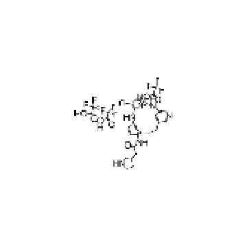 O=C(CC1CCNC1)Nc1ccc2cc1CCc1cncc(c1)Nc1ncc(Cl)c(n1)N2.O=C(O)C(F)(F)F.O=C(O)C(F)(F)F.O=C(O)C(F)(F)F